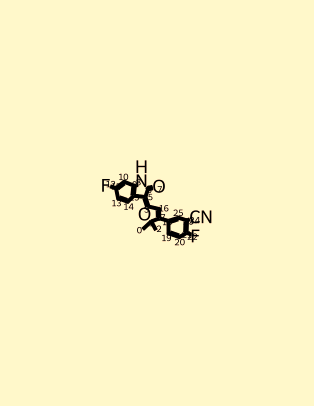 CC1(C)O/C(=C2/C(=O)Nc3cc(F)ccc32)C=C1c1ccc(F)c(C#N)c1